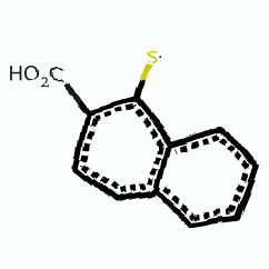 O=C(O)c1ccc2ccccc2c1[S]